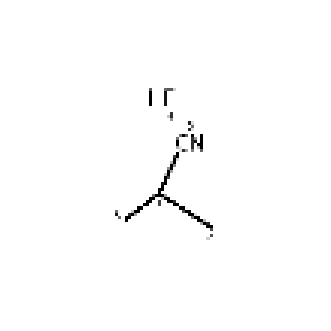 CC(C)C#N.F